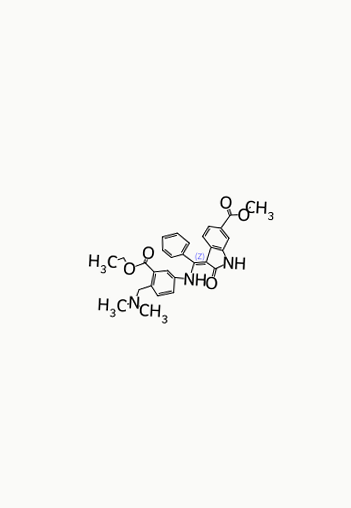 CCOC(=O)c1cc(N/C(=C2\C(=O)Nc3cc(C(=O)OC)ccc32)c2ccccc2)ccc1CN(C)C